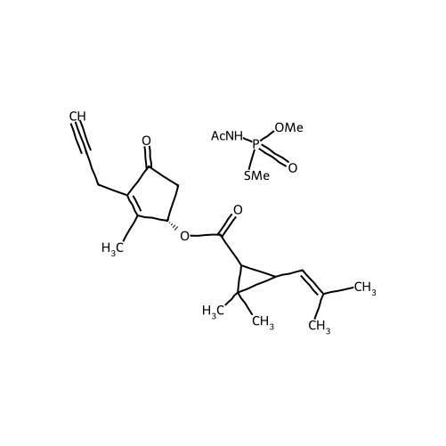 C#CCC1=C(C)[C@@H](OC(=O)C2C(C=C(C)C)C2(C)C)CC1=O.COP(=O)(NC(C)=O)SC